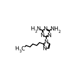 CCCCCCc1nccn1-c1nc(N)nc(N)n1